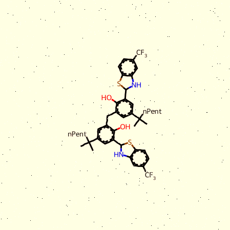 CCCCCC(C)(C)c1cc(Cc2cc(C(C)(C)CCCCC)cc(C3Nc4cc(C(F)(F)F)ccc4S3)c2O)c(O)c(C2Nc3cc(C(F)(F)F)ccc3S2)c1